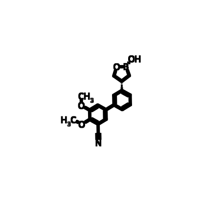 COc1cc(-c2cccc([C@@H]3COB(O)C3)c2)cc(C#N)c1OC